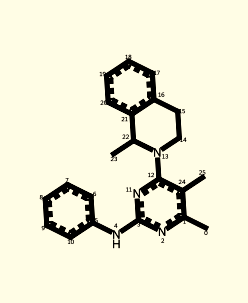 Cc1nc(Nc2ccccc2)nc(N2CCc3ccccc3C2C)c1C